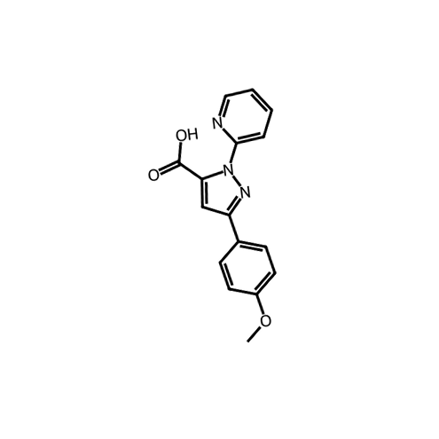 COc1ccc(-c2cc(C(=O)O)n(-c3ccccn3)n2)cc1